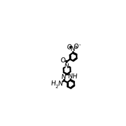 NC1=NC2(CCN(C(=O)c3cccc([N+](=O)[O-])c3)CC2)Nc2ccccc21